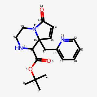 CC(C)(C)OC(=O)C1NCCN2C(=O)C=CC12Cc1ccccn1